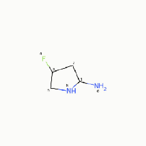 NC1CC(F)CN1